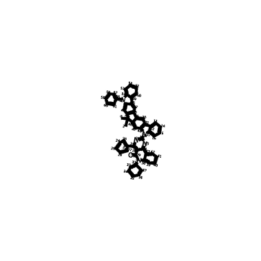 CC1(C)c2cc3c(cc2-c2cc4c5ccccc5n(-c5nc(-c6ccccc6)c6c(=O)n(-c7ccccc7)c7ccccc7c6n5)c4cc21)c1ccccc1n3-c1ccccc1